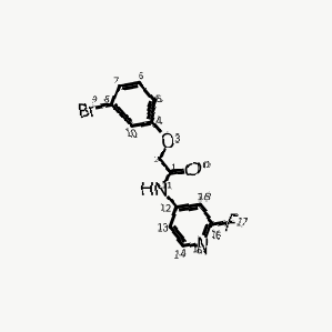 O=C(COc1cccc(Br)c1)Nc1ccnc(F)c1